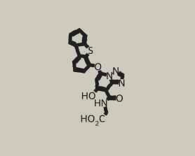 O=C(O)CNC(=O)c1c(O)cc(Oc2cccc3c2sc2ccccc23)n2ncnc12